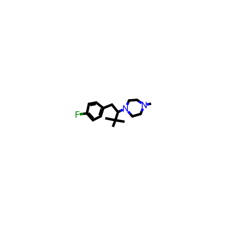 CN1CCN(C(Cc2ccc(F)cc2)C(C)(C)C)CC1